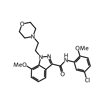 COc1ccc(Cl)cc1NC(=O)c1nn(CCN2CCOCC2)c2c(OC)cccc12